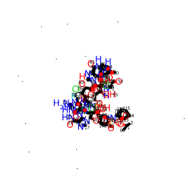 CC(C)OC(=O)[C@H](C)NP(=O)(OC[C@H]1O[C@@H](n2cnc3c(=O)[nH]c(NC(C)OC(=O)[C@H](C)N[P@](=O)(OC[C@H]4O[C@@H](n5cnc6c(=O)[nH]c(NC(C)OC(=O)[C@H](C)N[P@@](=O)(OC[C@H]7O[C@@H](n8cnc9c(=O)[nH]c(N)nc98)[C@@](Cl)(CF)C7O)Oc7ccccc7)nc65)[C@@](Cl)(CF)C4O)Oc4ccccc4)nc32)[C@@](Cl)(CF)C1O)Oc1ccccc1